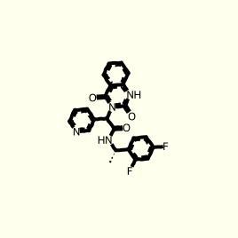 C[C@H](NC(=O)C(c1cccnc1)n1c(=O)[nH]c2ccccc2c1=O)c1ccc(F)cc1F